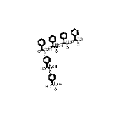 O=[PH](O)C(O)c1ccccc1.O=[PH](O)C(O)c1ccccc1.O=[PH](O)C(O)c1ccccc1.O=[PH](O)C(O)c1ccccc1.O=[PH](O)C(O)c1ccccc1.O=[PH](O)C(O)c1ccccc1